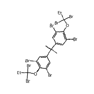 CCC(Br)(Br)Oc1c(Br)cc(C(C)(C)c2cc(Br)c(OC(Br)(Br)CC)c(Br)c2)cc1Br